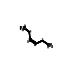 FC(F)(F)C/C=N\CC(F)(F)F